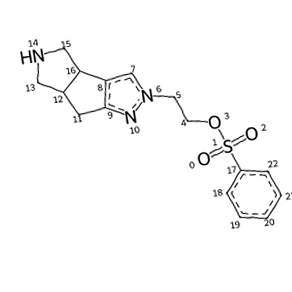 O=S(=O)(OCCn1cc2c(n1)CC1CNCC21)c1ccccc1